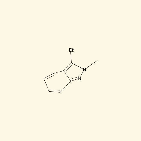 CCc1c2ccccc2nn1C